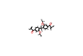 C=C(C)C(=O)c1ccc(C(C)(C)c2ccc(C(=O)C(=C)C)cc2OCC)c(OCC)c1